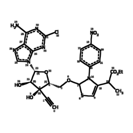 C#C[C@@]1(O)[C@@H](COC2SC=C(C(C)C(=O)OCC)N2c2ccc([N+](=O)[O-])cc2)O[C@@H](n2cnc3c(N)nc(Cl)nc32)[C@@H]1O